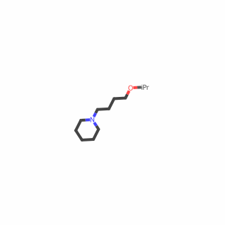 CC(C)OCCCCN1CCCCC1